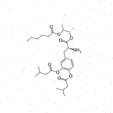 CCCCCC(=O)OC(C)[C@H](C)OC(=O)[C@@H](N)Cc1ccc(OC(=O)CC(C)C)c(OC(=O)CC(C)C)c1